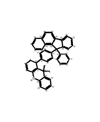 CC1(C)C2=C(C=CCC2c2ccc(C3(c4ccccc4)c4ccccc4-c4ccc5ccccc5c43)cc2)Oc2ccccc21